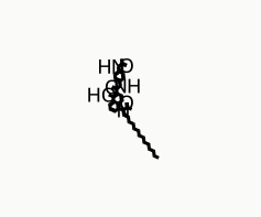 CCCCCCCCCCCCCCN(C(C)=O)c1cccc2c(O)c(C(=O)Nc3ccc(NC(C)=O)cc3)ccc12